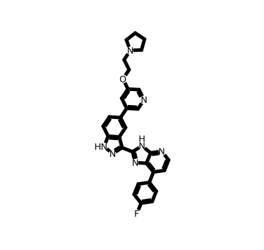 Fc1ccc(-c2ccnc3[nH]c(-c4n[nH]c5ccc(-c6cncc(OCCN7CCCC7)c6)cc45)nc23)cc1